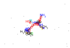 Cc1ncsc1-c1ccc(CNC(=O)[C@@H]2C[C@@H](OC(=O)COCCOCCN)CN2C(=O)[C@@H](NC(=O)COCCOCCOCCNC(=O)C[C@@H]2N=C(c3ccc(Cl)cc3)c3c(sc(C)c3C)-n3c(C)nnc32)C(C)(C)C)cc1.O=C(O)C(F)(F)F